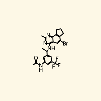 CC(=O)Nc1cc(C(C)Nc2nc(C)nc3c4c(c(Br)cc23)CCC4)cc(C(F)(F)F)c1